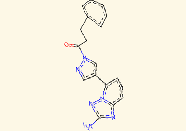 Nc1nc2cccc(-c3cnn(C(=O)CCc4ccccc4)c3)n2n1